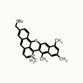 Cc1cc(C)c2cc3c(c(C)c2c1)-c1c2c(c4ccc(CC(C)(C)C)cc4cc2cc[n+]1C)S3